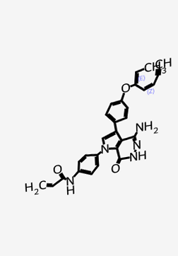 C#C/C=C\C(=C/C)Oc1ccc(-c2cn(-c3ccc(NC(=O)C=C)cc3)c3c(=O)[nH]nc(N)c23)cc1